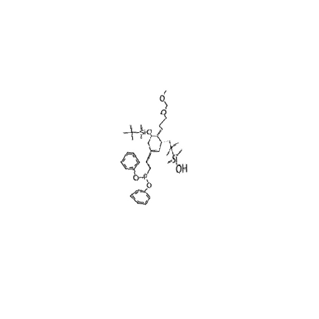 COCOCC/C=C1/[C@H](CC(C)(C)[Si](C)(C)O)C/C(=C\CP(Oc2ccccc2)Oc2ccccc2)C[C@H]1O[Si](C)(C)C(C)(C)C